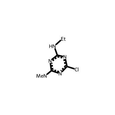 CCNc1nc(Cl)nc(NC)n1